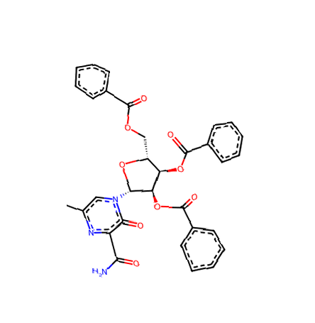 Cc1cn([C@@H]2O[C@H](COC(=O)c3ccccc3)[C@@H](OC(=O)c3ccccc3)[C@H]2OC(=O)c2ccccc2)c(=O)c(C(N)=O)n1